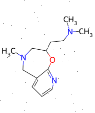 CN(C)CCC1CN(C)Cc2cccnc2O1